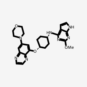 COc1nc(N[C@H]2CC[C@@H](Oc3cc(N4CCOCC4)cc4nccnc34)CC2)c2cc[nH]c2n1